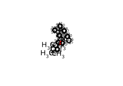 CC1(C)CCC(C)(C)c2c(-c3ccc(-c4cc5c(cc4N(c4ccccc4)c4cccc6c4CCCC6)C(c4ccccc4)(c4ccccc4)c4ccccc4-5)cc3)cccc21